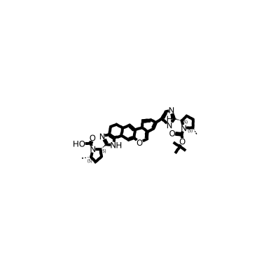 C[C@H]1CC[C@@H](c2nc3c([nH]2)C2C=C4OC=C5C=C(c6cnc([C@@H]7CC[C@H](C)N7C(=O)OC(C)(C)C)[nH]6)C=CC5C4=CC2CC3)N1C(=O)O